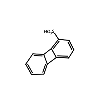 O=S(=O)(O)c1cccc2c1-c1ccccc1-2